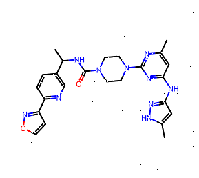 Cc1cc(Nc2cc(C)[nH]n2)nc(N2CCN(C(=O)NC(C)c3ccc(-c4ccon4)nc3)CC2)n1